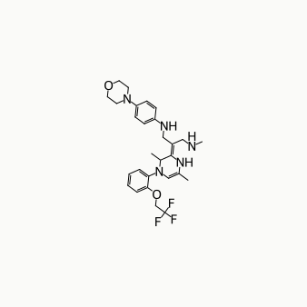 CNC/C(CNc1ccc(N2CCOCC2)cc1)=C1\NC(C)=CN(c2ccccc2OCC(F)(F)F)C1C